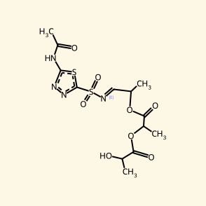 CC(=O)Nc1nnc(S(=O)(=O)/N=C/C(C)OC(=O)C(C)OC(=O)C(C)O)s1